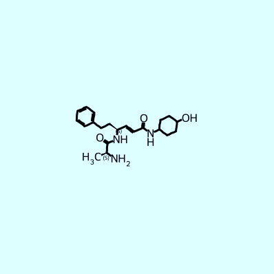 C[C@H](N)C(=O)N[C@H](C=CC(=O)NC1CCC(O)CC1)CCc1ccccc1